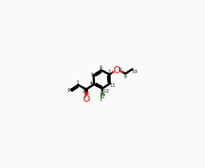 C=CC(=O)c1ccc(OCC)cc1F